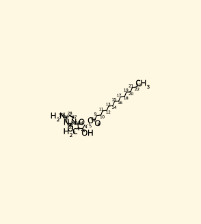 C=C1C(O)[C@@H](COC(=O)CCCCCCCCCCCCCCC)O[C@H]1n1ccc(N)nc1=O